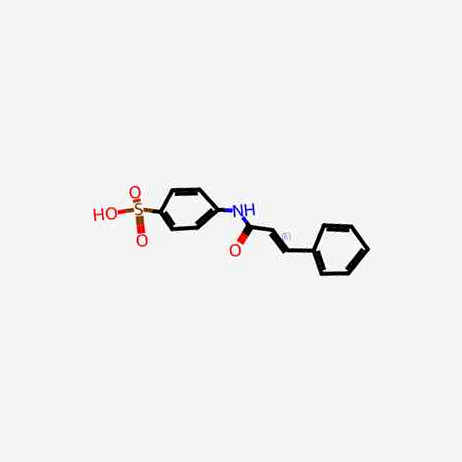 O=C(/C=C/c1ccccc1)Nc1ccc(S(=O)(=O)O)cc1